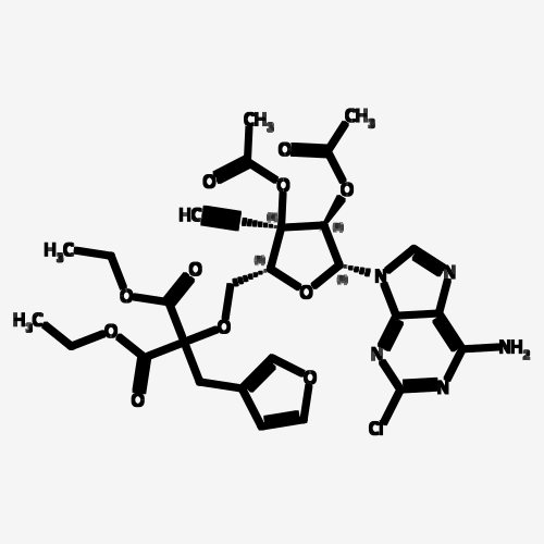 C#C[C@@]1(OC(C)=O)[C@@H](COC(Cc2ccoc2)(C(=O)OCC)C(=O)OCC)O[C@@H](n2cnc3c(N)nc(Cl)nc32)[C@@H]1OC(C)=O